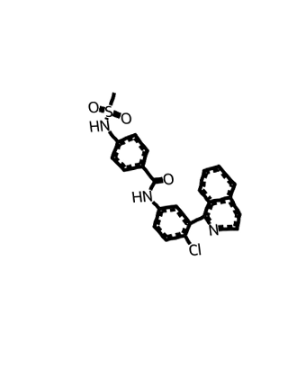 CS(=O)(=O)Nc1ccc(C(=O)Nc2ccc(Cl)c(-c3nccc4ccccc34)c2)cc1